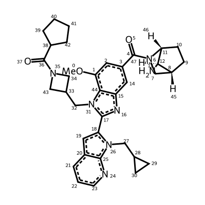 COc1cc(C(=O)N2C[C@H]3CC[C@@H]2[C@@H]3N)cc2nc(-c3cc4cccnc4n3CC3CC3)n(CC3CN(C(=O)C4CCCC4)C3)c12